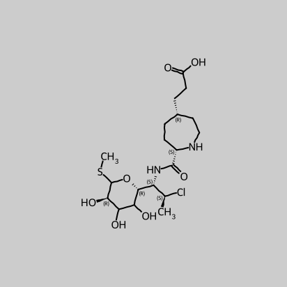 CSC1O[C@H]([C@H](NC(=O)[C@@H]2CC[C@H](CCC(=O)O)CCN2)[C@H](C)Cl)C(O)C(O)[C@H]1O